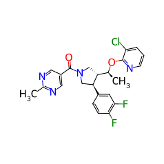 Cc1ncc(C(=O)N2C[C@H]([C@H](C)Oc3ncccc3Cl)[C@@H](c3ccc(F)c(F)c3)C2)cn1